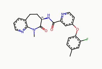 Cc1ccc(Oc2ccnc(C(=O)N[C@@H]3CCc4cccnc4N(C)C3=O)c2)c(F)c1